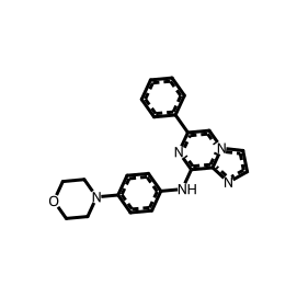 c1ccc(-c2cn3ccnc3c(Nc3ccc(N4CCOCC4)cc3)n2)cc1